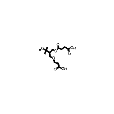 COC(C)(C)C(COCCC(=O)O)COC(=O)CCC(=O)O